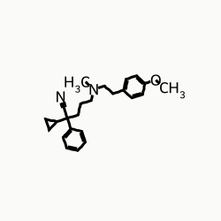 COc1ccc(CCN(C)CCCC(C#N)(c2ccccc2)C2CC2)cc1